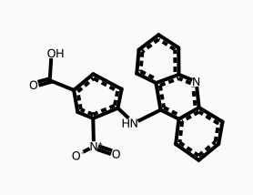 O=C(O)c1ccc(Nc2c3ccccc3nc3ccccc23)c([N+](=O)[O-])c1